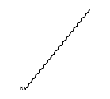 CCCCCCCCCCCCCCCCCCCCCCCCCCCCCCCCC[CH2][Na]